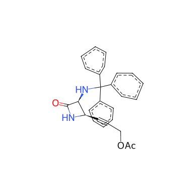 CC(=O)OCC#C[C@H]1NC(=O)[C@H]1NC(c1ccccc1)(c1ccccc1)c1ccccc1